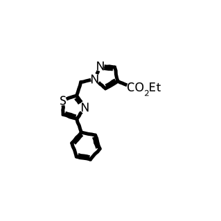 CCOC(=O)c1cnn(Cc2nc(-c3ccccc3)cs2)c1